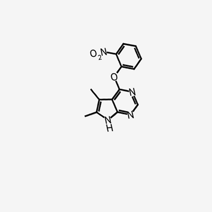 Cc1[nH]c2ncnc(Oc3ccccc3[N+](=O)[O-])c2c1C